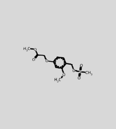 COC(=O)COc1ccc(COS(C)(=O)=O)c(OC)c1